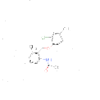 CCC(=O)Nc1cccc(C)c1COc1ccc(C)cc1Cl